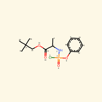 CC(NP(=O)(Cl)Oc1ccccc1)C(=O)OCC(C)(C)C